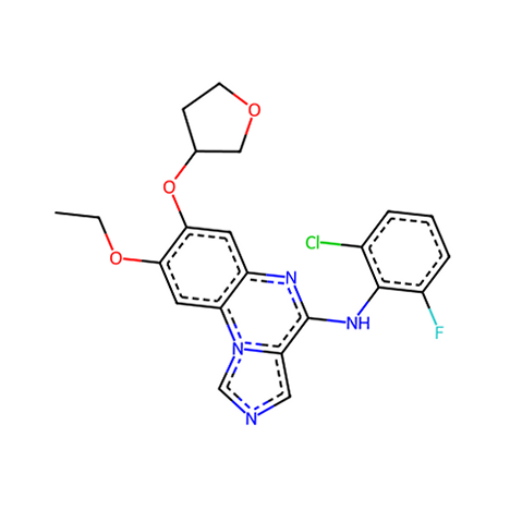 CCOc1cc2c(cc1OC1CCOC1)nc(Nc1c(F)cccc1Cl)c1cncn12